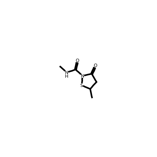 CNC(=O)N1SC(C)CC1=O